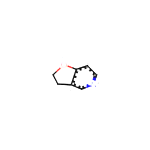 [CH]1Cc2cnccc2O1